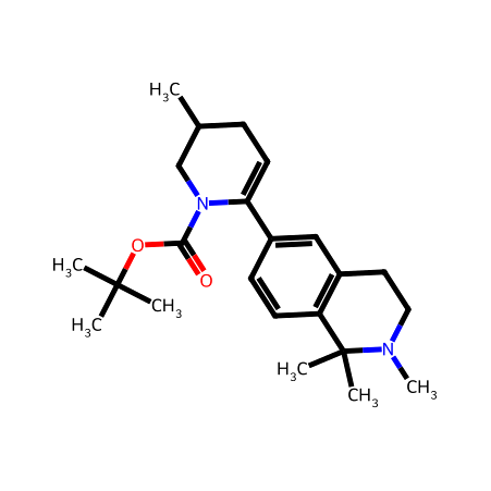 CC1CC=C(c2ccc3c(c2)CCN(C)C3(C)C)N(C(=O)OC(C)(C)C)C1